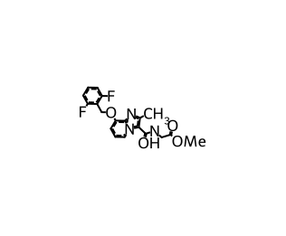 COC(=O)CNC(=O)c1c(C)nc2c(OCc3c(F)cccc3F)cccn12